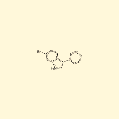 Brc1ccc2c(-c3ccccc3)c[nH]c2c1